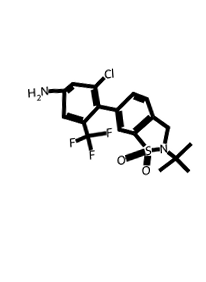 CC(C)(C)N1Cc2ccc(-c3c(Cl)cc(N)cc3C(F)(F)F)cc2S1(=O)=O